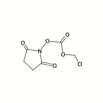 O=C(OCCl)ON1C(=O)CCC1=O